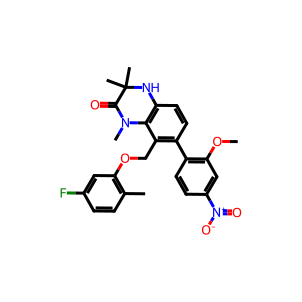 COc1cc([N+](=O)[O-])ccc1-c1ccc2c(c1COc1cc(F)ccc1C)N(C)C(=O)C(C)(C)N2